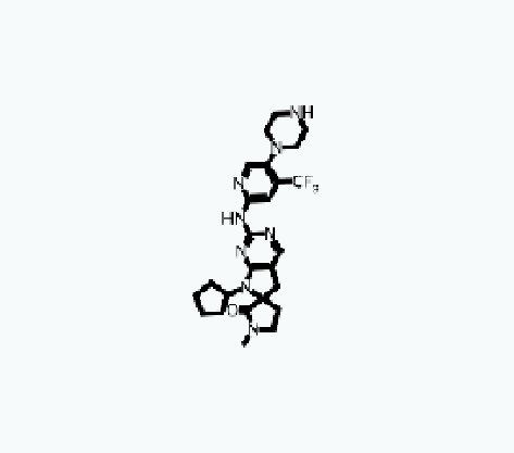 CN1CCC2(Cc3cnc(Nc4cc(C(F)(F)F)c(N5CCNCC5)cn4)nc3N2C2CCCC2)C1=O